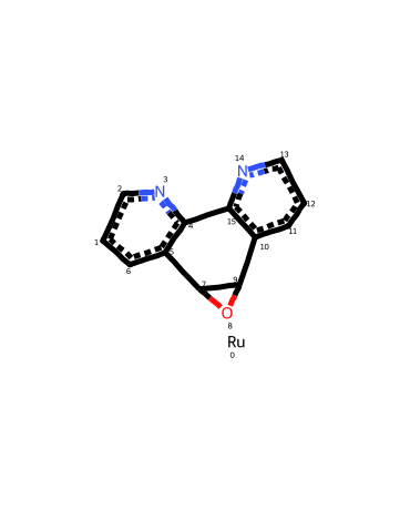 [Ru].c1cnc2c(c1)C1OC1c1cccnc1-2